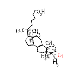 C[C@H](CCCCC(=O)O)[C@H]1CC=C2C3=C(CC[C@@]21C)[C@@]1(C)CC[C@H](O)C(C)(C)[C@@H]1CC3